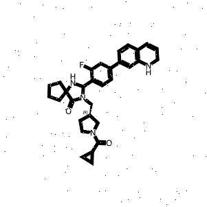 O=C(C1CC1)N1CC[C@@H](CN2C(=O)C3(CCCC3)NC2C2=CC=C(c3ccc4c(c3)NCC=C4)CC2F)C1